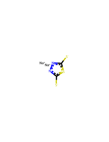 [Na+].[Na+].[S-]c1nnc([S-])s1